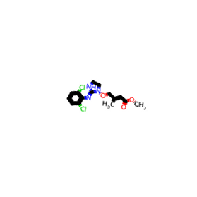 COC(=O)/C=C(\C)CON1CCNC1=Nc1c(Cl)cccc1Cl